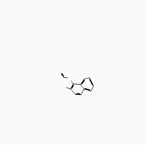 O=COc1c(Br)ccc2ccccc12